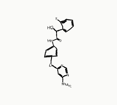 CC(=O)Nc1cc(Oc2ccc(NC(=O)C(O)c3ccccc3F)cc2)ncn1